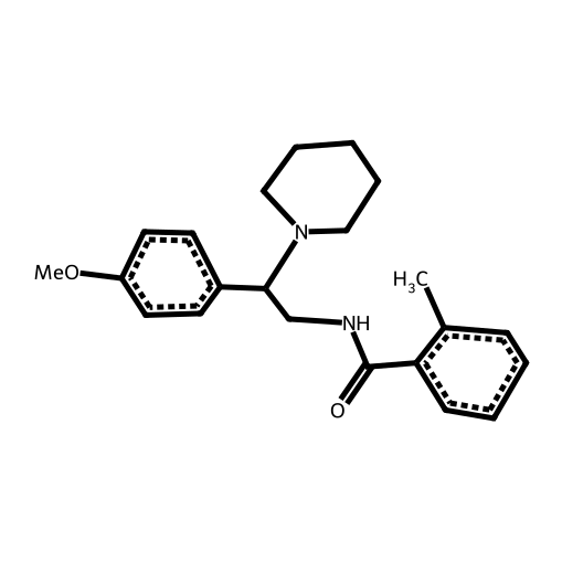 COc1ccc(C(CNC(=O)c2ccccc2C)N2CCCCC2)cc1